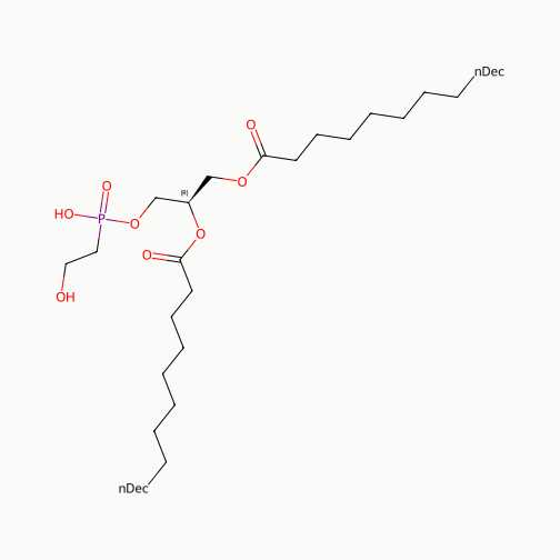 CCCCCCCCCCCCCCCCCC(=O)OC[C@H](COP(=O)(O)CCO)OC(=O)CCCCCCCCCCCCCCCCC